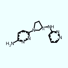 Nc1ccc(N2CC[C@@H](Nc3cccnn3)C2)nn1